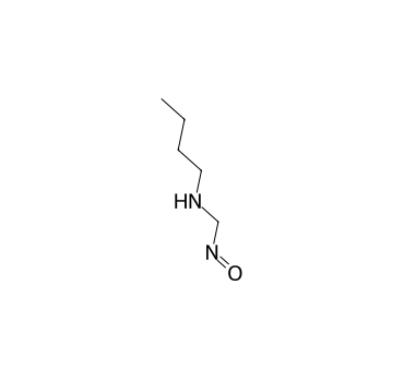 CCCCNCN=O